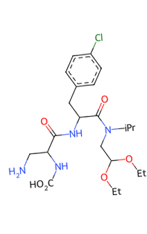 CCOC(CN(C(=O)C(Cc1ccc(Cl)cc1)NC(=O)C(CN)NC(=O)O)C(C)C)OCC